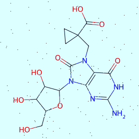 Nc1nc2c(c(=O)[nH]1)n(CC1(C(=O)O)CC1)c(=O)n2C1OC(CO)C(O)C1O